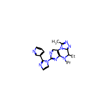 CCC1c2nnc(C)n2-c2cnc(-n3ccnc3-c3cccnc3)nc2N1C(C)C